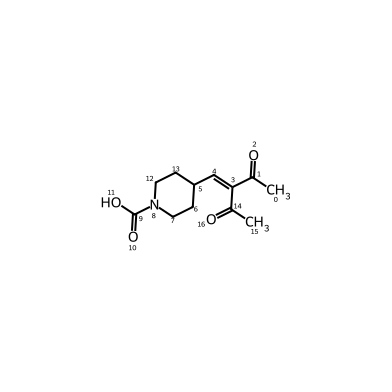 CC(=O)C(=CC1CCN(C(=O)O)CC1)C(C)=O